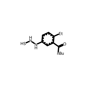 CCCCC(=O)c1cc(NNS)ccc1CC